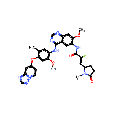 COc1cc2ncnc(Nc3cc(C)c(Oc4ccn5ncnc5c4)cc3OC)c2cc1NC(=O)C(F)=CC1CCC(=O)N1C